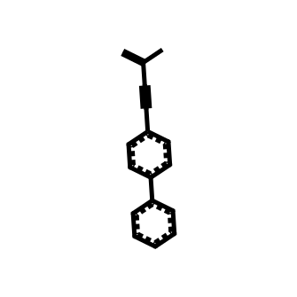 C=C(C)C#Cc1ccc(-c2ccccc2)cc1